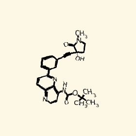 CN1CC[C@@](O)(C#Cc2cccc(-c3ccc4nccc(NC(=O)OC(C)(C)C)c4n3)c2)C1=O